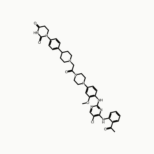 COc1cc(N2CCN(C(=O)CN3CCC(c4ccc(N5CCC(=O)NC5=O)cc4)CC3)CC2)ccc1Nc1ncc(Cl)c(Nc2ccccc2C(C)=O)n1